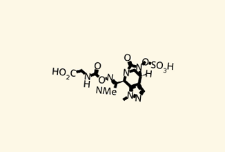 CN/C(=N\OC(=O)NCC(=O)O)[C@@H]1c2c(cnn2C)[C@H]2CN1C(=O)N2OS(=O)(=O)O